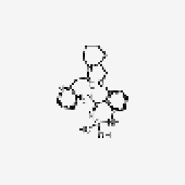 NC1=NS(O)(O)Nc2cccc(OCC3CCCCN3C(=O)Cc3ncccn3)c21